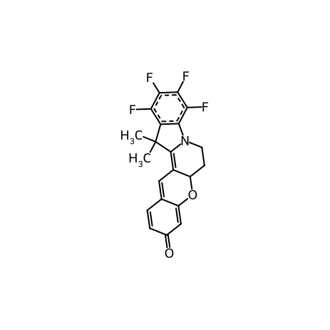 CC1(C)C2=C3C=C4C=CC(=O)C=C4OC3CCN2c2c(F)c(F)c(F)c(F)c21